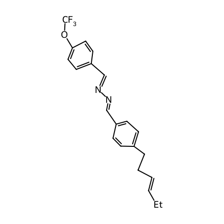 CC/C=C/CCc1ccc(C=NN=Cc2ccc(OC(F)(F)F)cc2)cc1